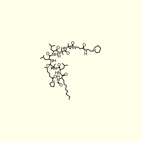 CCCCCCCCC(NC(=O)[C@@H]1CCCN1C(=O)CCCCC)C(=O)NC(CC(C)C)C(=O)NC(C)(C)C(=O)NC(CC(C)C)C(=O)NC(CC(C)C)C(=O)NC(C)(C)C(=O)NC(C)(C)C(=O)NCCC(=O)NCCN1CCCCC1